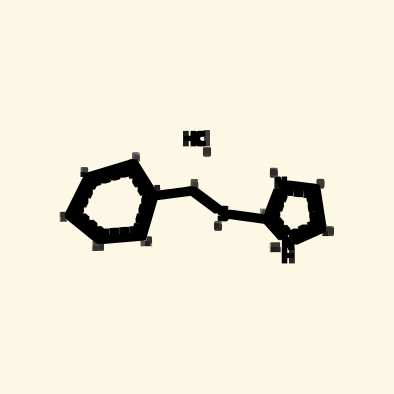 Cl.c1ccc(CSc2ncc[nH]2)cc1